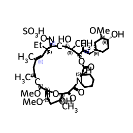 CC[C@@H]1/C=C(\C)C[C@H](C)C[C@H](OC)[C@H]2O[C@@](O)(C(=O)C(=O)N3CCCC[C@H]3C(=O)O[C@H](/C(C)=C/[C@@H]3CC[C@@H](O)[C@H](OC)C3)[C@H](C)[C@@H](O)C/C1=N/OS(=O)(=O)O)[C@H](C)C[C@@H]2OC